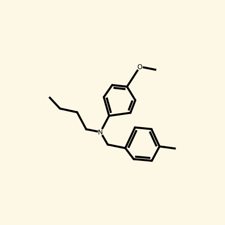 CCCCN(Cc1ccc(C)cc1)c1ccc(OC)cc1